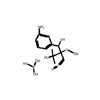 CC(C)(O)C(C=C=O)(OO)C(O)c1cccc(N)c1.OB(O)O